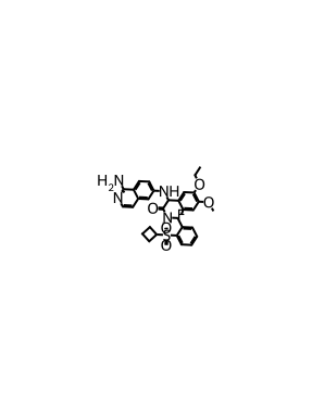 CCOc1cc(C(Nc2ccc3c(N)nccc3c2)C(=O)N(C)Cc2ccccc2S(=O)(=O)C2CCC2)c(F)cc1OC